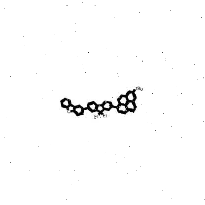 CCC1(CC)c2cc(-c3ccc4oc5ccccc5c4c3)ccc2-c2ccc(-c3ccc4ccc5cc(C(C)(C)C)cc6ccc3c4c56)cc21